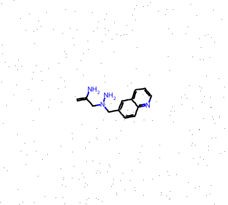 C=C(N)CN(N)Cc1ccc2ncccc2c1